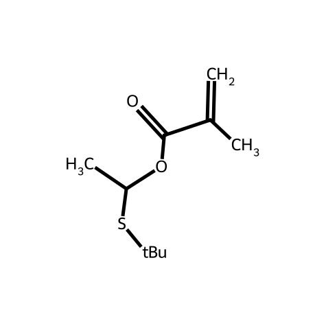 C=C(C)C(=O)OC(C)SC(C)(C)C